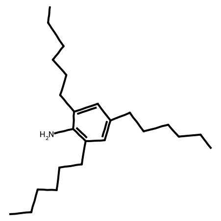 CCCCCCc1cc(CCCCCC)c(N)c(CCCCCC)c1